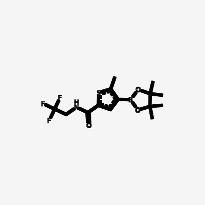 Cc1sc(C(=O)NCC(F)(F)F)cc1B1OC(C)(C)C(C)(C)O1